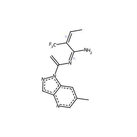 C=C(/N=C(N)\C(=C/C)C(F)(F)F)n1ncc2ncc(C)cc21